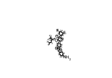 CC(C)=CC1C(COc2c(N3CCN(S(=O)(=O)Cc4ccc(N)cc4)CC3)cnn(-c3cc(F)cc(F)c3)c2=O)C1(C)C